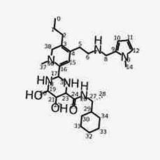 CCCC1=C(CCNCc2cccn2C)C=C(C2NC(O)C(O)C(C(=O)N[C@H](C)C3CCCCC3)N2)N(C)C1